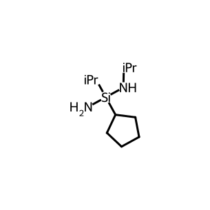 CC(C)N[Si](N)(C(C)C)C1CCCC1